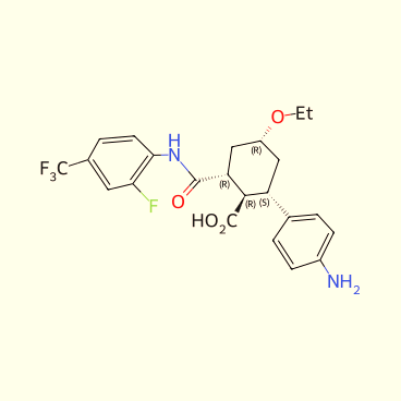 CCO[C@@H]1C[C@H](c2ccc(N)cc2)[C@@H](C(=O)O)[C@H](C(=O)Nc2ccc(C(F)(F)F)cc2F)C1